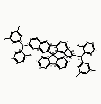 Cc1cc(C)cc(N(c2ccc3cc4c(cc3c2)C2(c3ccccc3-c3ccccc32)c2c-4ccc3cc(N(c4cc(C)cc(C)c4)c4ccccc4C)ccc23)c2ccccc2C)c1